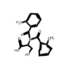 Cc1ccccc1C(=O)N(C(=O)c1ccccc1C)C(CO)C(=O)O